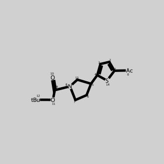 CC(=O)c1ccc(C2CCN(C(=O)OC(C)(C)C)C2)s1